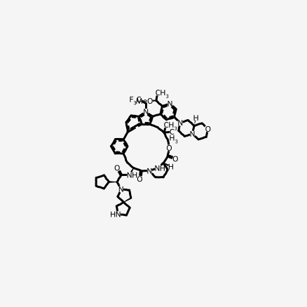 CO[C@@H](C)c1ncc(N2CCN3CCOC[C@@H]3C2)cc1-c1c2c3cc(ccc3n1CC(F)(F)F)-c1cccc(c1)C[C@H](NC(=O)[C@H](C1CCCC1)N1CC[C@]3(CCNC3)C1)C(=O)N1CCC[C@H](N1)C(=O)OCC(C)(C)C2